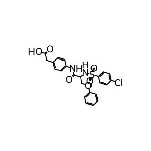 O=C(O)Cc1ccc(NC(=O)[C@H](COc2ccccc2)NS(=O)(=O)c2ccc(Cl)cc2)cc1